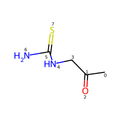 CC(=O)CNC(N)=S